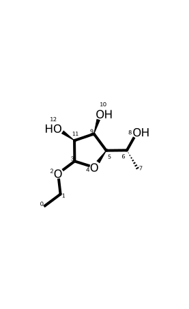 CCOC1O[C@H]([C@@H](C)O)[C@H](O)[C@@H]1O